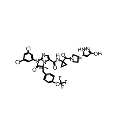 C[C@@]1(Cc2ccc(OC(F)(F)F)cc2)C(=O)N(c2cc(Cl)cc(Cl)c2)c2ncc(C(=O)NC3(C(=O)N4CC[C@@H](c5cc(O)n[nH]5)C4)CC3)n21